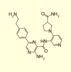 NCCc1ccc(-c2cnc(N)c(C(=O)Nc3cnccc3N3CCC(C(N)=O)C3)n2)cc1